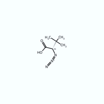 CC(C)(C)[C@H](N=[N+]=[N-])C(=O)O